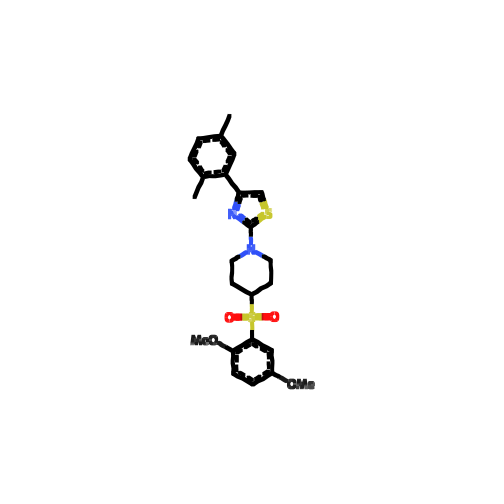 COc1ccc(OC)c(S(=O)(=O)C2CCN(c3nc(-c4cc(C)ccc4C)cs3)CC2)c1